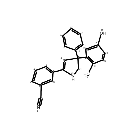 N#Cc1cccc(C2=NC(c3ccccc3)(c3cc(O)ccc3O)CN2)c1